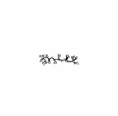 NP(N)(=O)NC(=O)CC(Cl)C(Cl)CC(=O)NP(N)(N)=O